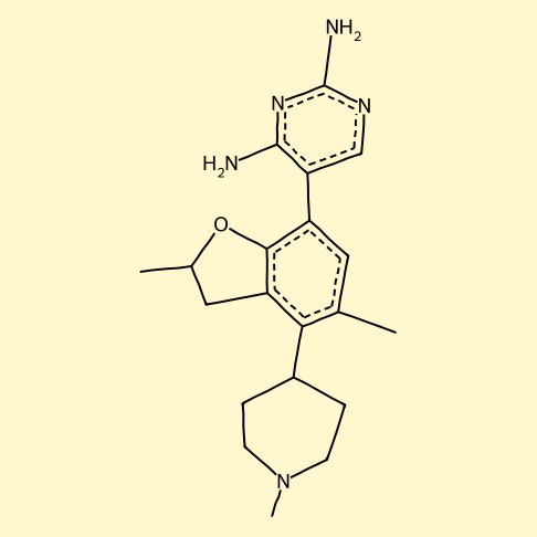 Cc1cc(-c2cnc(N)nc2N)c2c(c1C1CCN(C)CC1)CC(C)O2